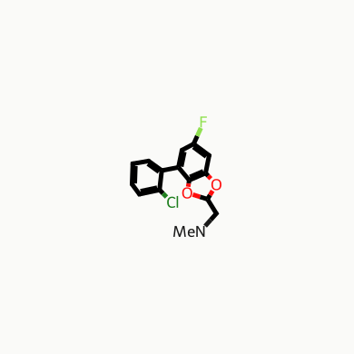 CNCC1Oc2cc(F)cc(-c3ccccc3Cl)c2O1